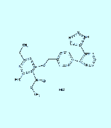 CCc1cc(OCc2ccc(-c3ccccc3-c3nnn[nH]3)cc2)c(C(=O)OC)c(C)n1.Cl